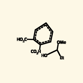 CCC(O)OC.O=C(O)c1ccccc1C(=O)O